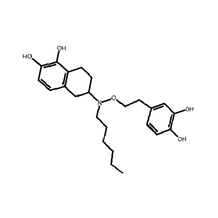 CCCCCCN(OCCc1ccc(O)c(O)c1)C1CCc2c(ccc(O)c2O)C1